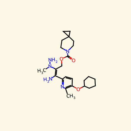 Cc1nc(/C(N)=C(\COC(=O)N2CCC3(CC2)CC3)N(C)N)ccc1OC1CCCCC1